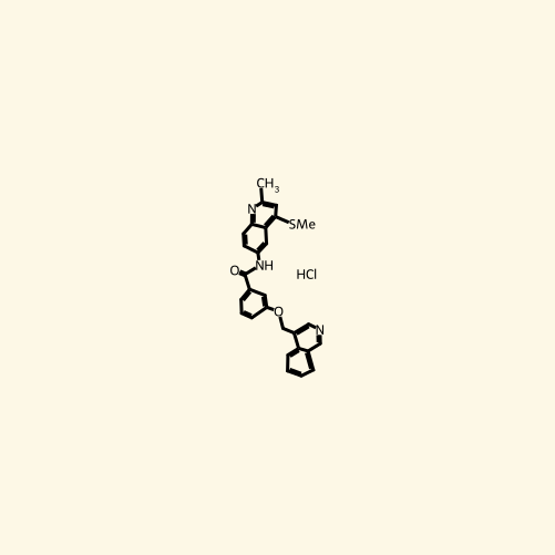 CSc1cc(C)nc2ccc(NC(=O)c3cccc(OCc4cncc5ccccc45)c3)cc12.Cl